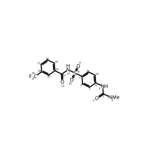 CNC(=O)Nc1ccc(S(=O)(=O)NC(=O)c2cccc(C(F)(F)F)c2)cc1